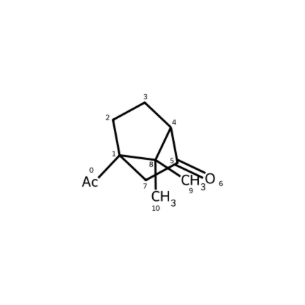 CC(=O)C12CCC(C(=O)C1)C2(C)C